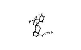 CC(O)c1cccc2c1CN(c1cn[nH]c(=O)c1C(F)(F)F)C2